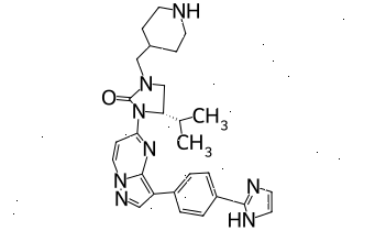 CC(C)[C@H]1CN(CC2CCNCC2)C(=O)N1c1ccn2ncc(-c3ccc(-c4ncc[nH]4)cc3)c2n1